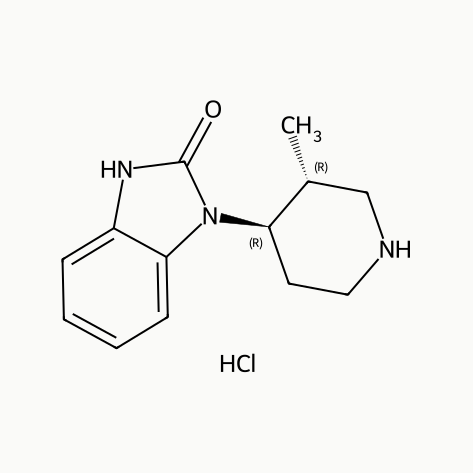 C[C@@H]1CNCC[C@H]1n1c(=O)[nH]c2ccccc21.Cl